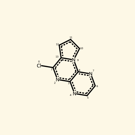 Clc1nc2nccnc2n2cccc12